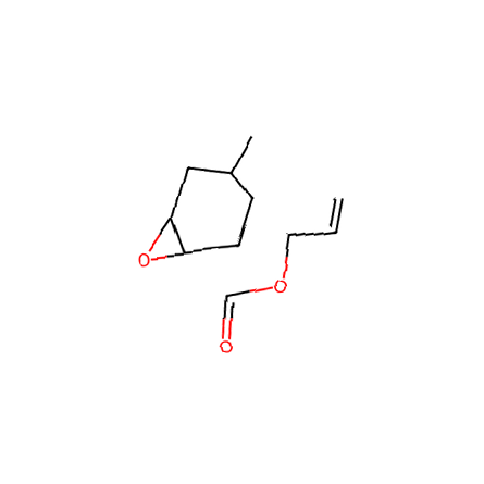 C=CCOC=O.CC1CCC2OC2C1